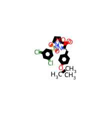 CC(C)(C)Oc1ccc(C[C@H](N[N+]2(S(=O)(=O)c3cc(Cl)cc(Cl)c3)C=CC=C2C=O)C(=O)O)cc1